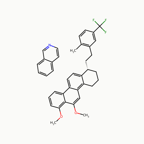 COc1cccc2c1c(OC)cc1c3c(ccc12)[C@H](CCc1cc(C(F)(F)F)ccc1C)CCC3.c1ccc2cnccc2c1